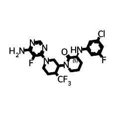 Nc1ncnc(N2CCC(C(F)(F)F)C(N3CCC[C@H](Nc4cc(F)cc(Cl)c4)C3=O)C2)c1F